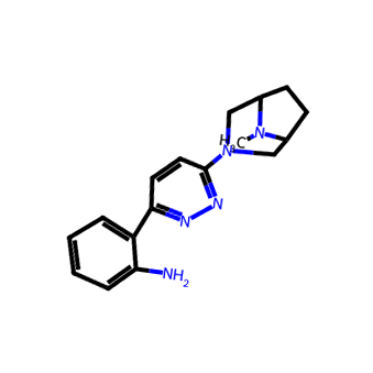 CN1C2CCC1CN(c1ccc(-c3ccccc3N)nn1)C2